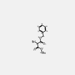 CC(C)(C)OC(=O)C(Br)C(=O)OCc1ccccc1